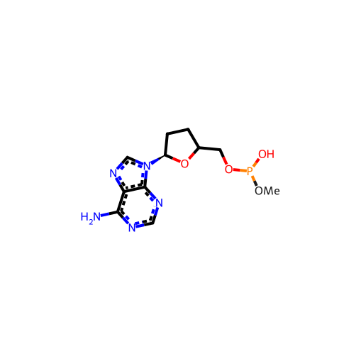 COP(O)OCC1CC[C@H](n2cnc3c(N)ncnc32)O1